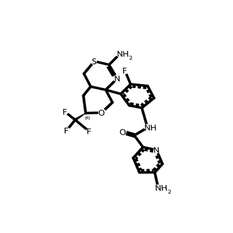 NC1=NC2(c3cc(NC(=O)c4ccc(N)cn4)ccc3F)CO[C@@H](C(F)(F)F)CC2CS1